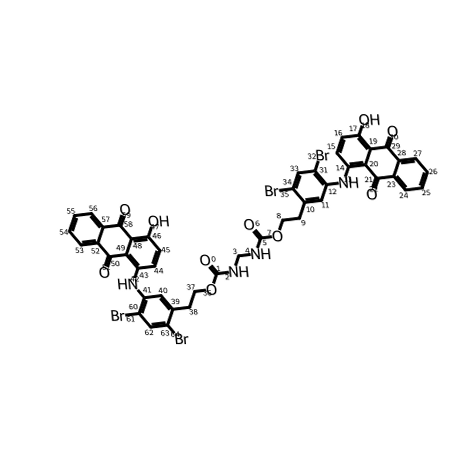 O=C(NCNC(=O)OCCc1cc(Nc2ccc(O)c3c2C(=O)c2ccccc2C3=O)c(Br)cc1Br)OCCc1cc(Nc2ccc(O)c3c2C(=O)c2ccccc2C3=O)c(Br)cc1Br